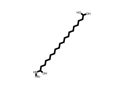 CCCCNC(O)CCCCCCCCCCCCCCCCCCC(O)O